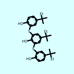 CCC(C)(C)c1ccc(O)c(Sc2cc(C(C)(C)CC)cc(Sc3cc(C(C)(C)CC)ccc3O)c2O)c1